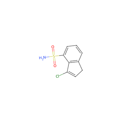 NS(=O)(=O)c1cccc2c1C(Cl)=CC2